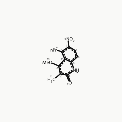 CCCc1c([N+](=O)[O-])ccc2[nH]c(=O)c(C)c(OC)c12